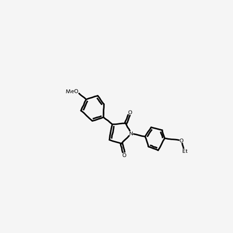 CCOc1ccc(N2C(=O)C=C(c3ccc(OC)cc3)C2=O)cc1